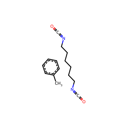 Cc1ccccc1.O=C=NCCCCCCN=C=O